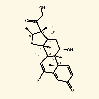 C[C@@H]1C[C@H]2[C@@H]3C=C(F)C4=CC(=O)C=C[C@]4(C)[C@H]3[C@@H](O)C[C@]2(C)[C@@]1(O)C(=O)CO